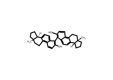 C[C@@]12CCC[C@@H]1c1ccc3c(-c4c(O)ccc5c6c(ccc45)[C@@H]4CCC[C@@]4(C)CC6)c(O)ccc3c1CC2